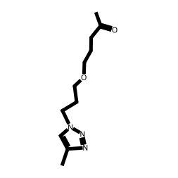 CC(=O)CCCOCCCn1cc(C)nn1